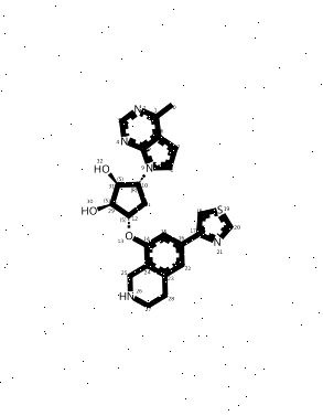 Cc1ncnc2c1ccn2[C@@H]1C[C@H](Oc2cc(-c3cscn3)cc3c2CNCC3)[C@@H](O)[C@H]1O